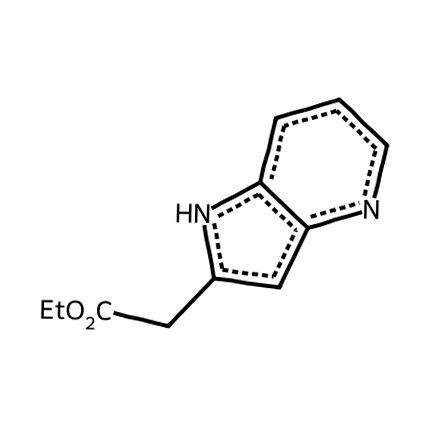 CCOC(=O)Cc1cc2ncccc2[nH]1